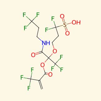 C=C(C(=O)OC(OCCC(F)(F)S(=O)(=O)O)(C(=O)NCCC(F)(F)F)C(F)(F)F)C(F)(F)F